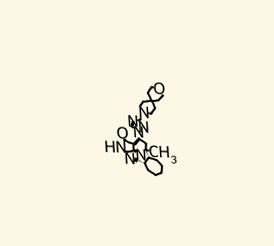 CC1([C@@H]2CCCCC[C@@H]2C#N)CC(n2cnc(N3CCC4(CCOCC4)CC3)n2)=C2C(=O)NCC2=N1